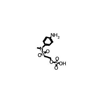 CN(c1ccc(N)cc1)S(=O)(=O)CCOS(=O)(=O)O